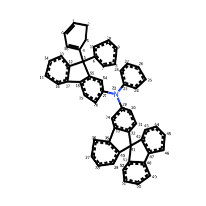 C1=CCCC(C2(c3ccccc3)c3ccccc3-c3ccc(N(c4ccccc4)c4ccc5c(c4)-c4ccccc4C54c5ccccc5-c5ccccc54)cc32)=C1